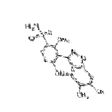 COc1ccc(S(N)(=O)=O)c(OC)c1-c1noc2cc(C#N)c(C)cc12